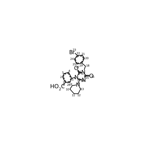 O=C(O)c1cccc(-n2c(N3CCCCC3)nc(=O)n(Cc3ccc(Br)cc3)c2=O)c1